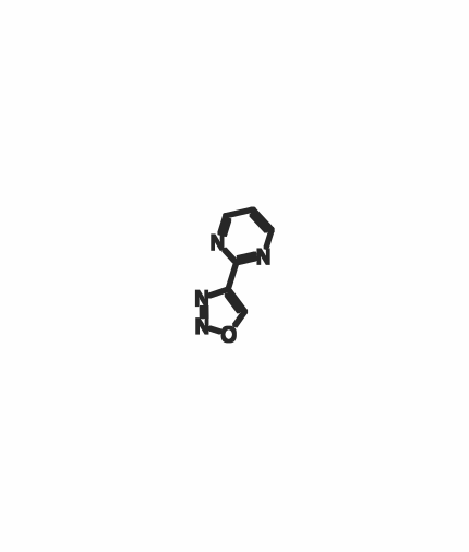 c1cnc(-c2conn2)nc1